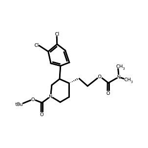 CN(C)C(=O)OCC[C@@H]1CCN(C(=O)OC(C)(C)C)CC1c1ccc(Cl)c(Cl)c1